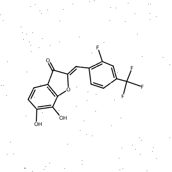 O=C1C(=Cc2ccc(C(F)(F)F)cc2F)Oc2c1ccc(O)c2O